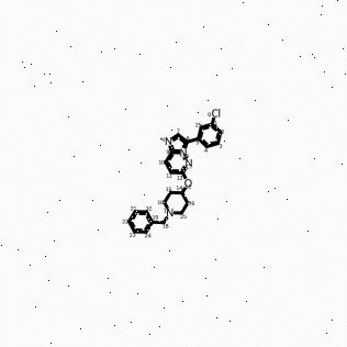 Clc1cccc(-c2cnc3ccc(OC4CCN(Cc5ccccc5)CC4)nn23)c1